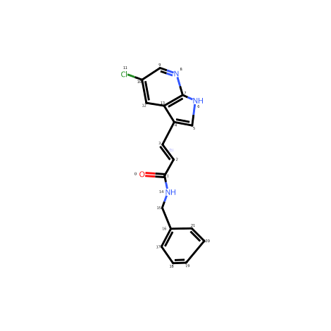 O=C(/C=C/c1c[nH]c2ncc(Cl)cc12)NCc1ccccc1